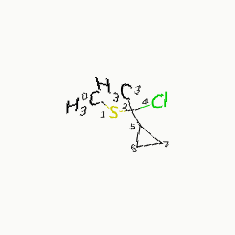 CSC(C)(Cl)C1CC1